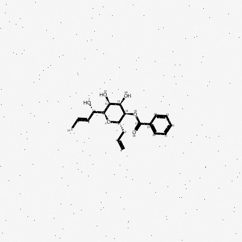 C=CC[C@@H]1O[C@@H]([C@@H](O)/C=C/I)[C@@H](O)[C@@H](O)[C@H]1OC(=O)c1ccccc1